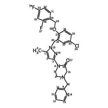 Cc1cc(N2CCN(Cc3ccccn3)CC2=O)nn1Cc1cc(Cl)ccc1OCc1ccc(F)cc1F